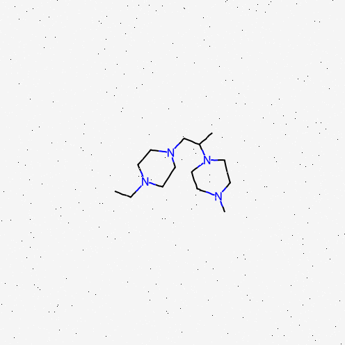 CCN1CCN(CC(C)N2CCN(C)CC2)CC1